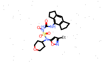 CCc1cc(N(C2CCOCC2)S(=O)(=O)[NH+]([O-])C(=O)Nc2c3c(cc4c2CCC4)CCC3)on1